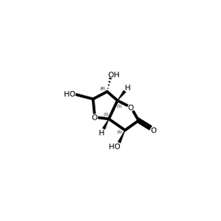 O=C1O[C@@H]2[C@@H](OC(O)[C@@H]2O)[C@@H]1O